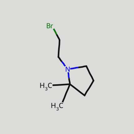 CC1(C)CCCN1CCBr